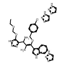 CCOCOc1[nH]nnc1C(N)C(N)=C(OCc1ccc(Cl)cc1)c1c[nH]c2ccccc12.c1c[nH]nn1.c1c[nH]nn1.c1c[nH]nn1